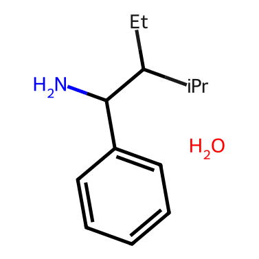 CCC(C(C)C)C(N)c1ccccc1.O